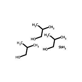 CC(C)CO.CC(C)CO.CC(C)CO.[SbH3]